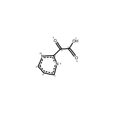 O=C(O)C(=O)c1ncccn1